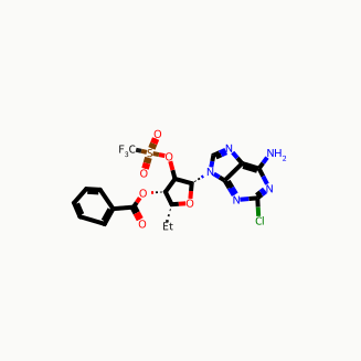 CC[C@H]1O[C@@H](n2cnc3c(N)nc(Cl)nc32)C(OS(=O)(=O)C(F)(F)F)[C@H]1OC(=O)c1ccccc1